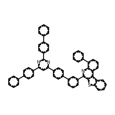 c1ccc(-c2ccc(-c3cc(-c4ccc(-c5cccc(-c6nc7c(-c8ccccc8)cccc7c7c6sc6ccccc67)c5)cc4)nc(-c4ccc(-c5ccccc5)cc4)n3)cc2)cc1